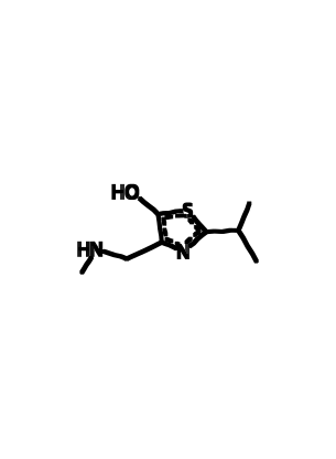 CNCc1nc(C(C)C)sc1O